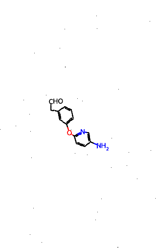 Nc1ccc(Oc2cccc(CC=O)c2)nc1